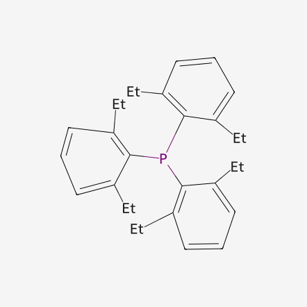 CCc1cccc(CC)c1P(c1c(CC)cccc1CC)c1c(CC)cccc1CC